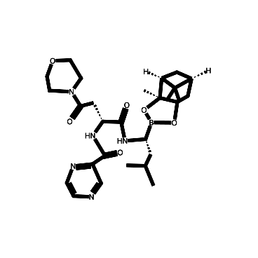 CC(C)C[C@H](NC(=O)[C@@H](CC(=O)N1CCOCC1)NC(=O)c1cnccn1)B1OC2C[C@@H]3C[C@@H](C3(C)C)[C@]2(C)O1